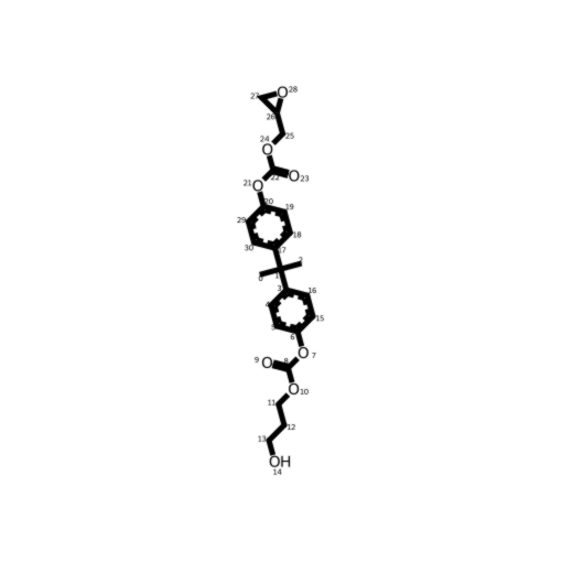 CC(C)(c1ccc(OC(=O)OCCCO)cc1)c1ccc(OC(=O)OCC2CO2)cc1